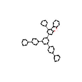 c1ccc(-c2ccc(-c3cc(-c4ccc(-c5ccccc5)cc4)cc(-c4cc(-c5ccccc5)c5c(c4)oc4ccccc45)c3)cc2)cc1